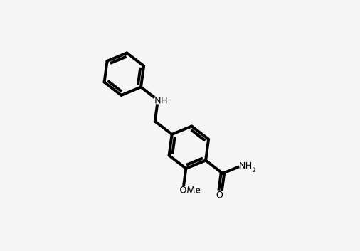 COc1cc(CNc2ccccc2)ccc1C(N)=O